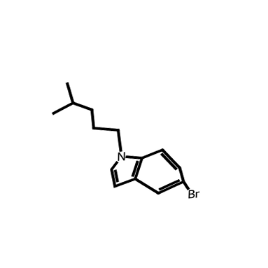 CC(C)CCCn1ccc2cc(Br)ccc21